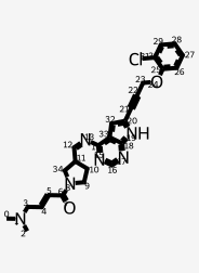 CN(C)C/C=C/C(=O)N1CCC(/C=N\c2ncnc3[nH]c(C#CCOc4ccccc4Cl)cc23)C1